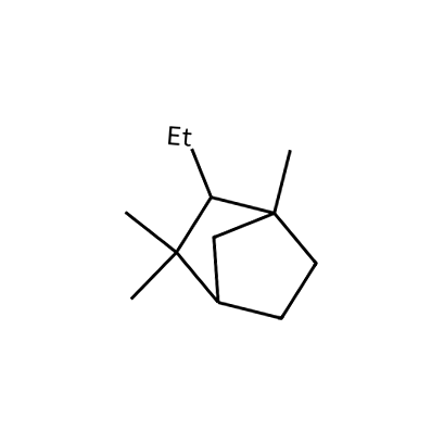 CCC1C2(C)CCC(C2)C1(C)C